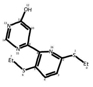 CCSc1ccc(SCC)c(-c2cc(O)ncn2)n1